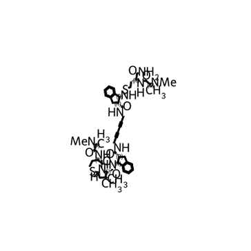 CN[C@@H](C)C(=O)N[C@H](CCSN[C@H]1c2ccccc2C[C@H]1C(=O)NCC#CC#CCNC(=O)[C@@H]1Cc2ccccc2[C@@H]1NC(=O)[C@H]1N2C(=O)[C@H](NC(=O)[C@H](C)NC)CCS[C@H]2CC1(C)C)C(N)=O